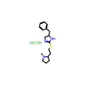 CN1CCCC1CCSC1=NCC(Cc2ccccc2)N1.Cl.Cl